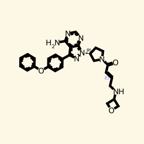 Nc1ncnc2c1c(-c1ccc(Oc3ccccc3)cc1)nn2[C@@H]1CCN(C(=O)/C=C/CNC2COC2)C1